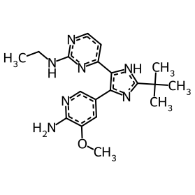 CCNc1nccc(-c2[nH]c(C(C)(C)C)nc2-c2cnc(N)c(OC)c2)n1